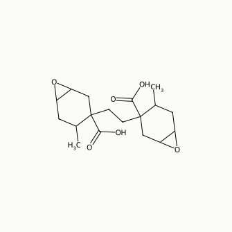 CC1CC2OC2CC1(CCC1(C(=O)O)CC2OC2CC1C)C(=O)O